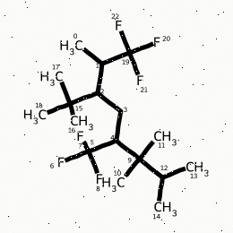 CC(C(CC(C(F)(F)F)C(C)(C)C(C)C)C(C)(C)C)C(F)(F)F